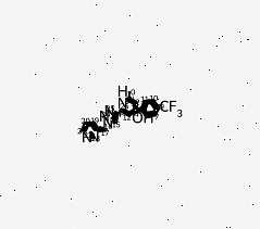 C[C@H]1CC(O)(c2ccc(C(F)(F)F)cc2)C[C@@H](c2cn(Cc3cccnn3)nn2)N1